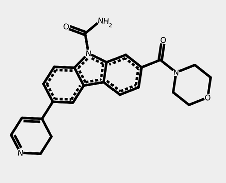 NC(=O)n1c2ccc(C3=CC=NCC3)cc2c2ccc(C(=O)N3CCOCC3)cc21